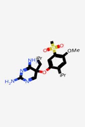 COc1cc(C(C)C)c(OC2(CC(C)C)C=NC(N)N=C2N)cc1S(C)(=O)=O